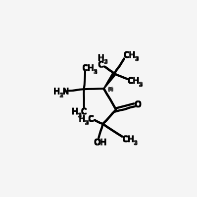 CC(C)(O)C(=O)[C@H](C(C)(C)C)C(C)(C)N